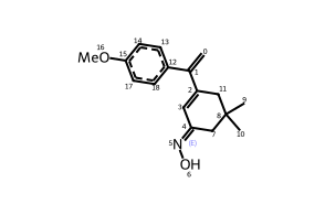 C=C(C1=C/C(=N/O)CC(C)(C)C1)c1ccc(OC)cc1